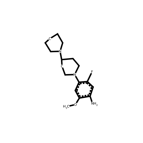 COc1cc(N2CCC(N3CCCCC3)CC2)c(F)cc1N